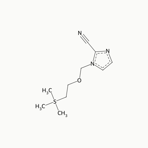 CS(C)(C)CCOCn1ccnc1C#N